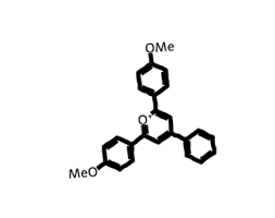 COc1ccc(-c2cc(-c3ccccc3)cc(-c3ccc(OC)cc3)[o+]2)cc1